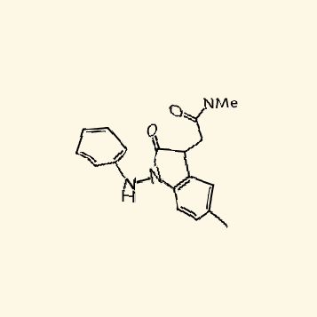 CNC(=O)CC1C(=O)N(Nc2ccccc2)c2ccc(C)cc21